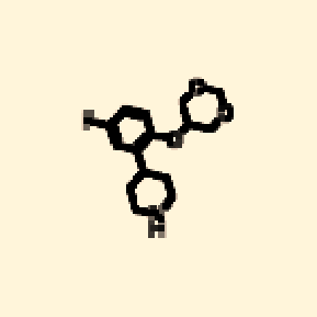 Fc1ccc(OC2COCOC2)c(C2CCNCC2)c1